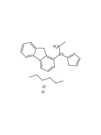 CCCCCC.C[SiH2][Zr+2]([C]1=CC=CC1)[c]1cccc2c1Cc1ccccc1-2.[Cl-].[Cl-]